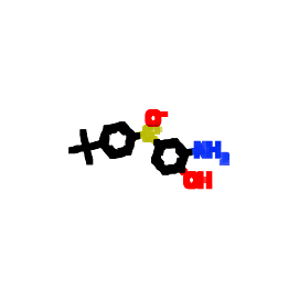 CC(C)(C)c1ccc([S+]([O-])c2ccc(O)c(N)c2)cc1